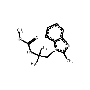 CNC(=O)NC(C)(C)Cn1c(C)nc2ccccc21